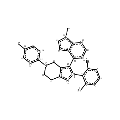 CCc1cccc(CC)c1-n1nc2c(c1-c1ncnc3c1ccn3C)CN(c1ncc(C)cn1)CC2